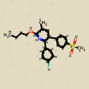 [CH2]c1cc(-c2ccc(S(C)(=O)=O)cc2)c(-c2ccc(F)cc2)nc1OCCCC